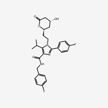 CC(C)c1c(C(=O)NCc2ccc(F)cc2)nc(-c2ccc(F)cc2)n1CC[C@@H]1C[C@@H](O)CC(=O)O1